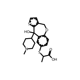 CC(Sc1ccc2c(c1)C(O)(C1CCN(C)CC1)c1sccc1CO2)C(=O)O